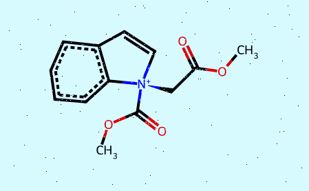 COC(=O)C[N@+]1(C(=O)OC)C=Cc2ccccc21